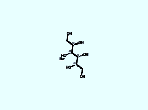 OC[C@@H](O)[C@@H](O)[C@H](O)[C@@H](O)CO.[Na]